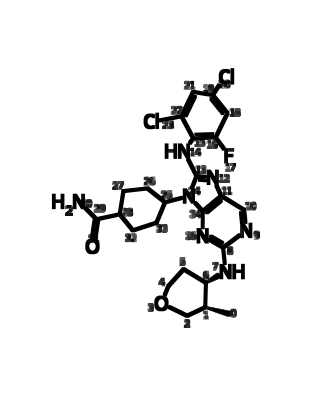 C[C@H]1COCC[C@H]1Nc1ncc2nc(Nc3c(F)cc(Cl)cc3Cl)n(C3CCC(C(N)=O)CC3)c2n1